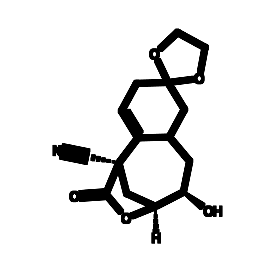 N#C[C@]12C[C@H](OC1=O)[C@H](O)CC1CC3(CC=C12)OCCO3